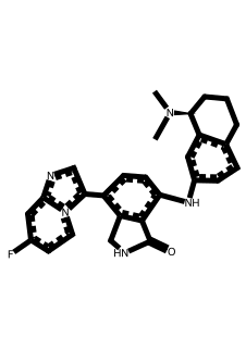 CN(C)[C@H]1CCCc2ccc(Nc3ccc(-c4cnc5cc(F)ccn45)c4c3C(=O)NC4)cc21